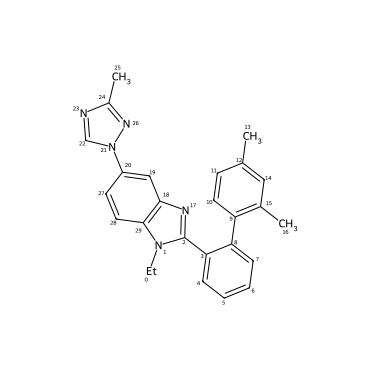 CCn1c(-c2ccccc2-c2ccc(C)cc2C)nc2cc(-n3cnc(C)n3)ccc21